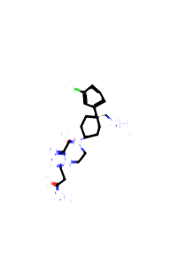 NC[C@]1(c2cccc(Cl)c2)CC[C@H](N2CCn3c(CC(N)=O)nnc3C2=O)CC1